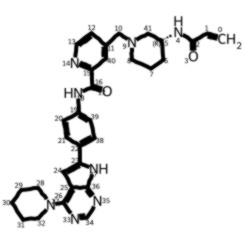 C=CC(=O)N[C@@H]1CCCN(Cc2ccnc(C(=O)Nc3ccc(-c4cc5c(N6CCCCC6)ncnc5[nH]4)cc3)c2)C1